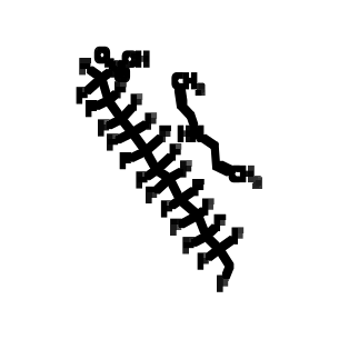 C=CCNCC=C.O=S(=O)(O)C(F)(F)C(F)(F)C(F)(F)C(F)(F)C(F)(F)C(F)(F)C(F)(F)C(F)(F)C(F)(F)C(F)(F)C(F)(F)CF